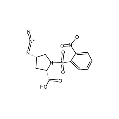 [N-]=[N+]=N[C@H]1C[C@@H](C(=O)O)N(S(=O)(=O)c2ccccc2[N+](=O)[O-])C1